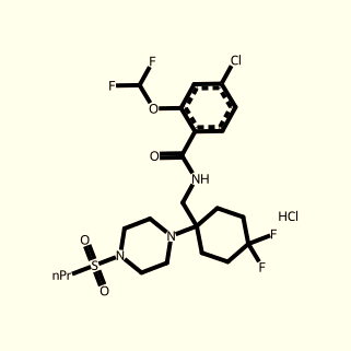 CCCS(=O)(=O)N1CCN(C2(CNC(=O)c3ccc(Cl)cc3OC(F)F)CCC(F)(F)CC2)CC1.Cl